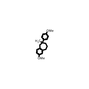 COc1ccc(C2(C)CCCc3cc(OC)ccc3C2)cc1